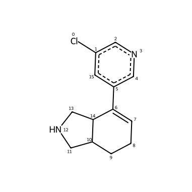 Clc1cncc(C2=CCCC3CNCC23)c1